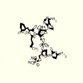 C=CCCC(=O)N(C)C(Cc1cccc(Cl)c1)C(=O)O[C@H]1[C@@H](O)[C@H](n2cnc3c(N)ncnc32)O[C@@H]1COP(=O)(O)O[C@H]1C[C@H](n2ccc(N)nc2=O)O[C@H]1COP(=O)(O)O